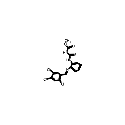 COC(=O)NC(=S)Nc1ccccc1N=Cc1cc(Cl)c(Cl)cc1Cl